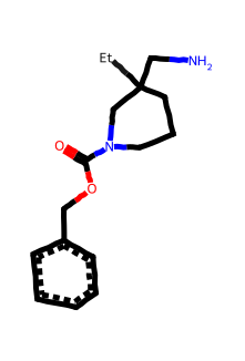 CCC1(CN)CCCN(C(=O)OCc2ccccc2)C1